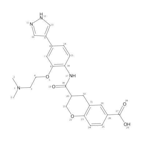 CN(C)CCOc1cc(-c2cn[nH]c2)ccc1NC(=O)C1COc2ccc(C(=O)O)cc2C1